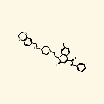 Cc1ccc2c(C(=O)Nc3ccccc3)cc(=O)n(CCN3CCC(NCc4ccc5c(c4)OCCO5)CC3)c2c1